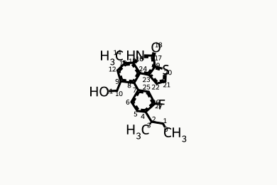 CC[C@@H](C)c1ccc(-c2c(CO)cc(C)c3[nH]c(=O)c4sccc4c23)cc1F